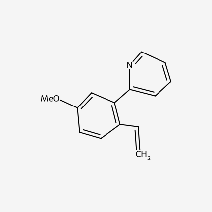 C=Cc1ccc(OC)cc1-c1ccccn1